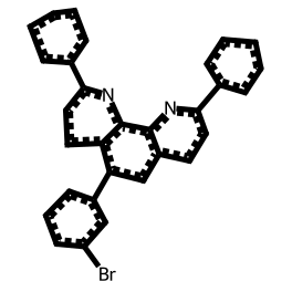 Brc1cccc(-c2cc3ccc(-c4ccccc4)nc3c3nc(-c4ccccc4)ccc23)c1